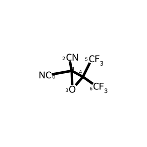 N#CC1(C#N)OC1(C(F)(F)F)C(F)(F)F